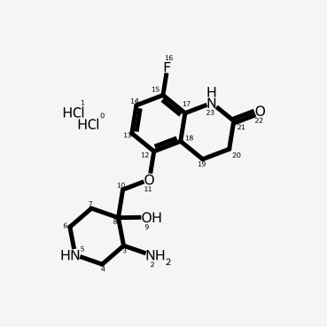 Cl.Cl.NC1CNCCC1(O)COc1ccc(F)c2c1CCC(=O)N2